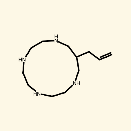 C=CCC1CNCCNCCNCCNC1